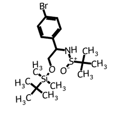 CC(C)(C)[S+]([O-])NC(CO[Si](C)(C)C(C)(C)C)c1ccc(Br)cc1